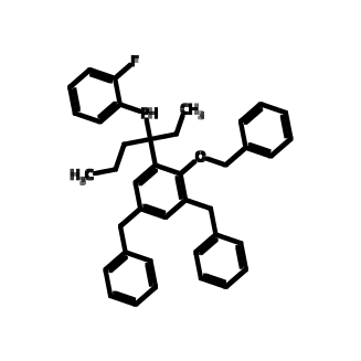 CCCC(CC)(Pc1ccccc1F)c1cc(Cc2ccccc2)cc(Cc2ccccc2)c1OCc1ccccc1